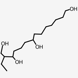 CCC(CO)C(O)CCCC(O)CCCCCCCO